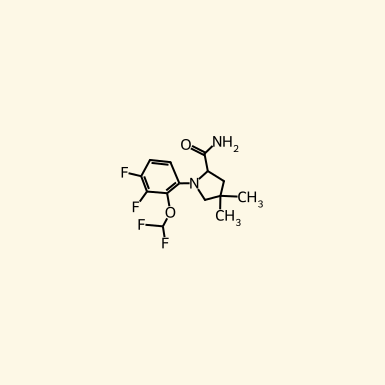 CC1(C)CC(C(N)=O)N(c2ccc(F)c(F)c2OC(F)F)C1